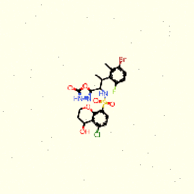 Cc1c(Br)ccc(F)c1C(C)C(NS(=O)(=O)c1ccc(Cl)c2c1OCCC2O)c1n[nH]c(=O)o1